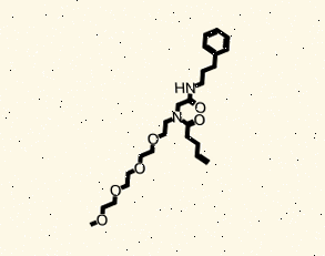 C=CCCC(=O)N(CCOCCOCCOCCOC)CC(=O)NCCCc1ccccc1